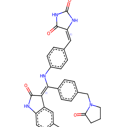 O=C1NC(=O)/C(=C\c2ccc(N/C(=C3\C(=O)Nc4ccc([N+](=O)[O-])cc43)c3ccc(CN4CCCC4=O)cc3)cc2)N1